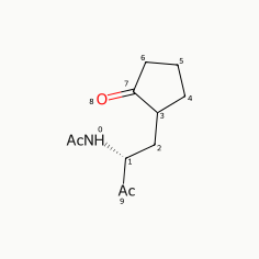 CC(=O)N[C@H](CC1CCCC1=O)C(C)=O